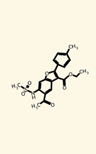 CCOC(=O)c1c(-c2ccc(C)cc2)oc2cc(NS(C)(=O)=O)c(C(C)=O)cc12